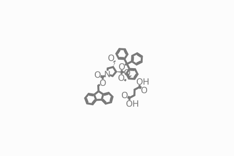 COC(OC)(OC(c1ccccc1)(c1ccccc1)c1ccccc1)[C@H]1CN(C(=O)OCC2c3ccccc3-c3ccccc32)C[C@@H]1C=O.O=C(O)CCC(=O)O